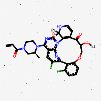 C=CC(=O)N1CCN(c2nc(=O)n3c4nc(c(F)cc24)-c2c(F)cccc2OCC(OCC)C(=O)C2=C3C(C)(C(C)C)NC=C2)[C@@H](C)C1